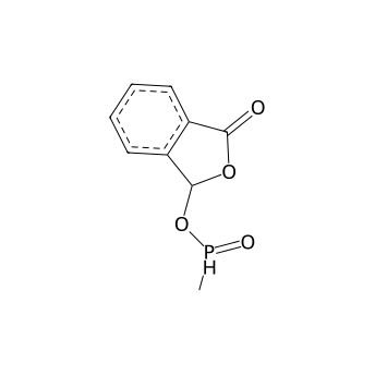 C[PH](=O)OC1OC(=O)c2ccccc21